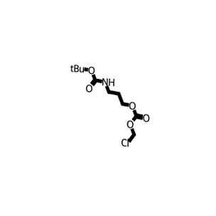 CC(C)(C)OC(=O)NCCCOC(=O)OCCl